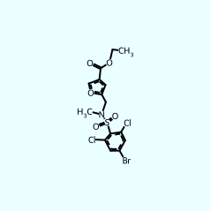 CCOC(=O)c1coc(CN(C)S(=O)(=O)c2c(Cl)cc(Br)cc2Cl)c1